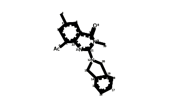 CC(=O)c1cc(C)cc2c(=O)n(C)c(N3Cc4ccccc4C3)nc12